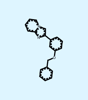 c1ccc(COc2cccc(-c3cn4ccccc4n3)c2)cc1